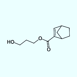 O=C(OCCCO)C1=CC2CCC1C2